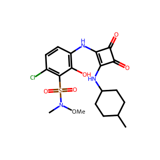 CON(C)S(=O)(=O)c1c(Cl)ccc(Nc2c(NC3CCC(C)CC3)c(=O)c2=O)c1O